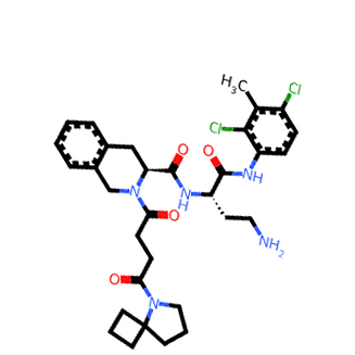 Cc1c(Cl)ccc(NC(=O)[C@H](CCN)NC(=O)[C@@H]2Cc3ccccc3CN2C(=O)CCC(=O)N2CCCC23CCC3)c1Cl